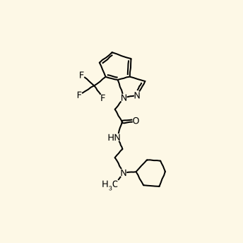 CN(CCNC(=O)Cn1ncc2cccc(C(F)(F)F)c21)C1CCCCC1